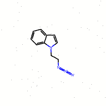 [N-]=[N+]=NCCn1ccc2ccccc21